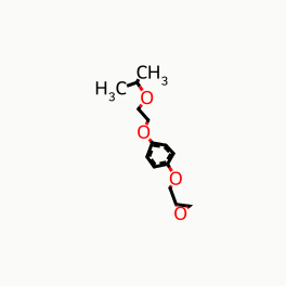 CC(C)OCCOc1ccc(OCC2CO2)cc1